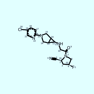 N#C[C@@H]1C[C@H](F)CN1C(=O)CNC1C2CN(c3ccc(Cl)cn3)CC21